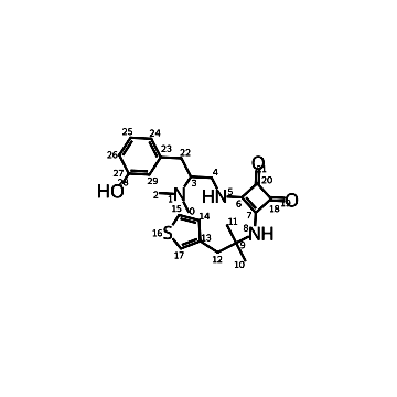 CN(C)C(CNc1c(NC(C)(C)Cc2ccsc2)c(=O)c1=O)Cc1cccc(O)c1